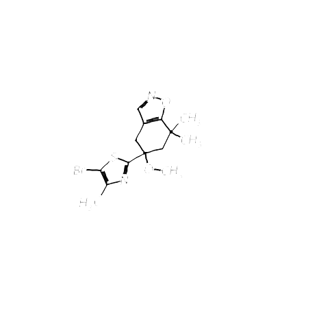 COC1(c2nc(C)c(Br)s2)Cc2cnoc2C(C)(C)C1